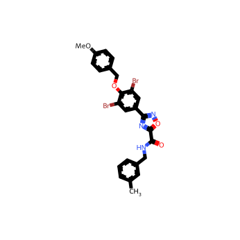 COc1ccc(COc2c(Br)cc(-c3noc(C(=O)NCc4cccc(C)c4)n3)cc2Br)cc1